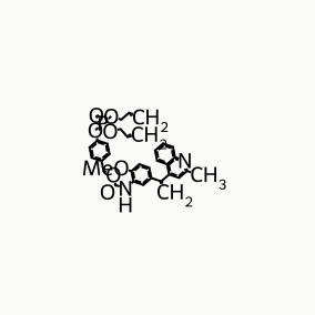 C=CCOP(=O)(OCC=C)Oc1ccc(COC(=O)Nc2cc(C(=C)c3cc(C)nc4ccccc34)ccc2OC)cc1